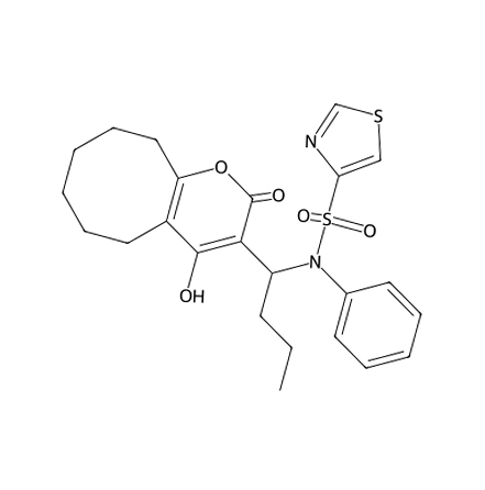 CCCC(c1c(O)c2c(oc1=O)CCCCCC2)N(c1ccccc1)S(=O)(=O)c1cscn1